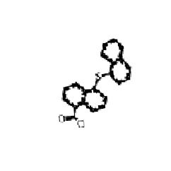 O=C(Cl)c1cccc2c(Sc3cccc4ccccc34)cccc12